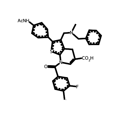 [CH2]c1ccc(C(=O)N2C=C(C(=O)O)Cc3c2sc(-c2ccc(NC(C)=O)cc2)c3CN(C)Cc2ccccc2)cc1F